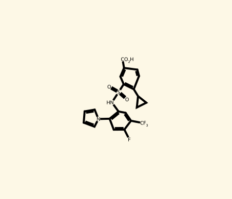 O=C(O)c1ccc(C2CC2)c(S(=O)(=O)Nc2cc(C(F)(F)F)c(F)cc2-n2cccc2)c1